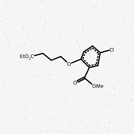 CCOC(=O)CCCOc1ccc(Cl)cc1C(=O)OC